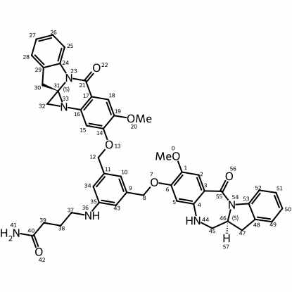 COc1cc2c(cc1OCc1cc(COc3cc4c(cc3OC)C(=O)N3c5ccccc5C[C@@]35CN45)cc(NCCCC(N)=O)c1)NC[C@@H]1Cc3ccccc3N1C2=O